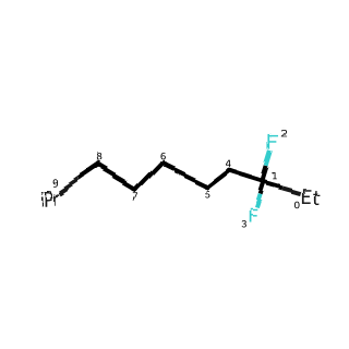 CCC(F)(F)CCCCCC(C)C